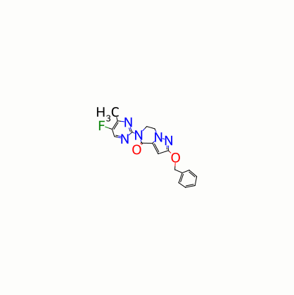 Cc1nc(N2CCn3nc(OCc4ccccc4)cc3C2=O)ncc1F